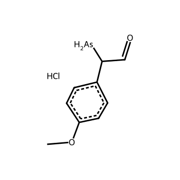 COc1ccc(C([AsH2])C=O)cc1.Cl